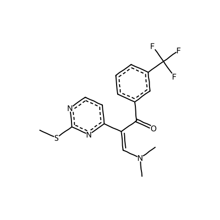 CSc1nccc(C(=CN(C)C)C(=O)c2cccc(C(F)(F)F)c2)n1